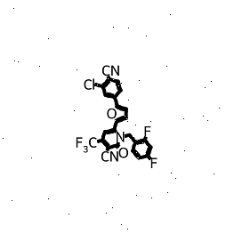 N#Cc1ccc(-c2ccc(-c3cc(C(F)(F)F)c(C#N)c(=O)n3Cc3ccc(F)cc3F)o2)cc1Cl